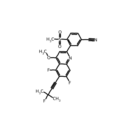 COc1cc(-c2cc(C#N)ccc2S(C)(=O)=O)nc2cc(F)c(C#CC(C)(C)F)c(F)c12